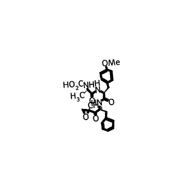 COc1ccc(C[C@H](NC(=O)[C@H](C)NC(=O)O)C(=O)N[C@@H](Cc2ccccc2)C(=O)[C@]2(C)CO2)cc1